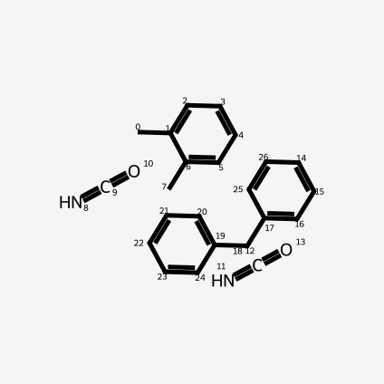 Cc1ccccc1C.N=C=O.N=C=O.c1ccc(Cc2ccccc2)cc1